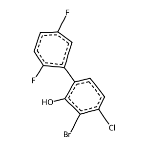 Oc1c(-c2cc(F)ccc2F)ccc(Cl)c1Br